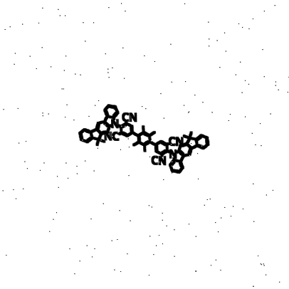 Cc1c(C)c(-c2cc(C#N)c(-n3c4ccccc4c4cc5c(cc43)C(C)(C)c3ccccc3-5)c(C#N)c2)c(C)c(C)c1-c1cc(C#N)c(-n2c3ccccc3c3cc4c(cc32)C(C)(C)c2ccccc2-4)c(C#N)c1